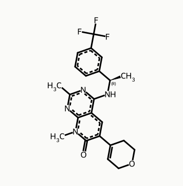 Cc1nc(N[C@H](C)c2cccc(C(F)(F)F)c2)c2cc(C3=CCOCC3)c(=O)n(C)c2n1